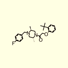 C[C@@H]1CN(Cc2ccc(F)cc2)[C@@H](C)CN1C(=O)COc1ccccc1C(C)(C)C